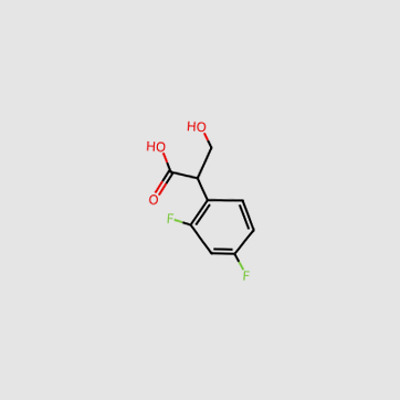 O=C(O)C(CO)c1ccc(F)cc1F